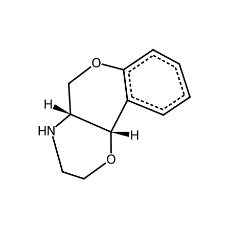 c1ccc2c(c1)OC[C@H]1NCCO[C@@H]21